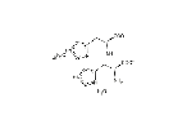 N[C@@H](Cc1c[nH]cn1)C(=O)[O-].N[C@@H](Cc1c[nH]cn1)C(=O)[O-].O.O.[Zn+2]